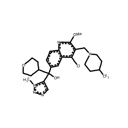 COc1nc2ccc(C(O)(c3cnnn3C)C3CCOCC3)cc2c(Cl)c1CN1CCC(C(F)(F)F)CC1